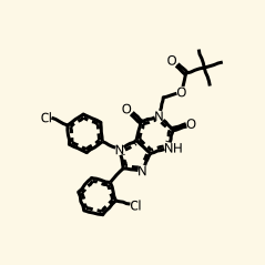 CC(C)(C)C(=O)OCn1c(=O)[nH]c2nc(-c3ccccc3Cl)n(-c3ccc(Cl)cc3)c2c1=O